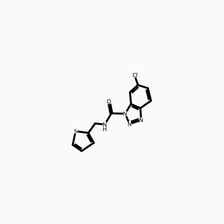 O=C(NCc1cccs1)n1nnc2ccc(Cl)cc21